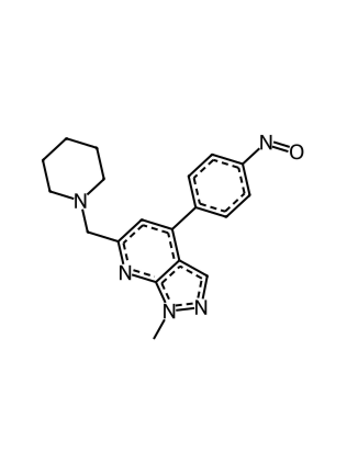 Cn1ncc2c(-c3ccc(N=O)cc3)cc(CN3CCCCC3)nc21